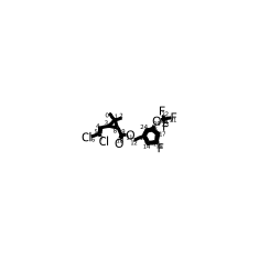 CC1(C)C(C=C(Cl)Cl)C1C(=O)OCc1cc(F)cc(OC(F)(F)F)c1